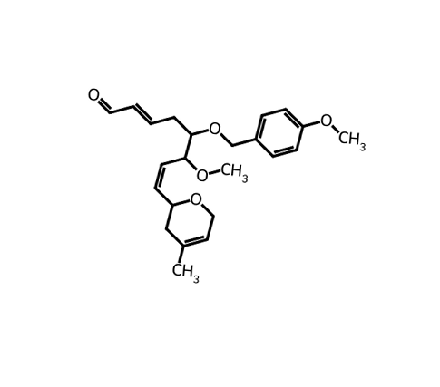 COc1ccc(COC(C/C=C/C=O)C(/C=C\C2CC(C)=CCO2)OC)cc1